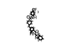 O=C(Nc1nc2ccccc2s1)c1ccc(C=C2CCN(C(=O)Nc3ccc(C(F)(F)F)cc3)CC2)cc1F